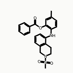 Cc1ccc(Nc2cccc3c2CCN(S(C)(=O)=O)C3)c(OC(=O)c2ccccc2)c1